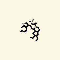 C=C/C=C\c1c(CCC2c3cc(CC)c(CC)cc3CCN2C(=C)C[S+](C)[O-])c[nH]c1C